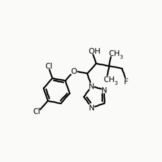 CC(C)(CF)C(O)C(Oc1ccc(Cl)cc1Cl)n1cncn1